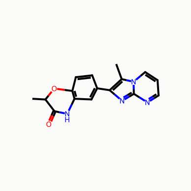 Cc1c(-c2ccc3c(c2)NC(=O)C(C)O3)nc2ncccn12